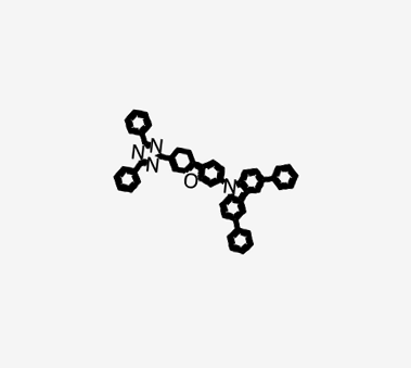 C1=C(c2nc(-c3ccccc3)nc(-c3ccccc3)n2)CCc2c1oc1cc(-n3c4ccc(-c5ccccc5)cc4c4cc(-c5ccccc5)ccc43)ccc21